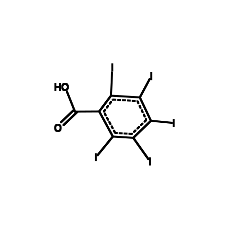 O=C(O)c1c(I)c(I)c(I)c(I)c1I